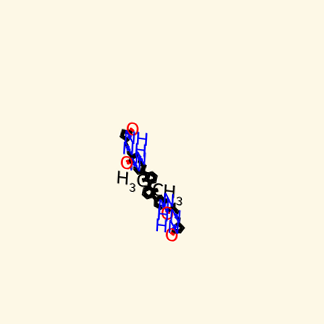 Cc1c(-c2ccn3c(=O)c(CNC[C@H]4CCC(=O)N4)cnc3c2)cccc1-c1cccc(-c2ccn3c(=O)c(CNC[C@H]4CCC(=O)N4)cnc3c2)c1C